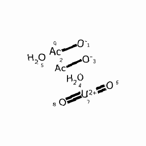 CC(=O)[O-].CC(=O)[O-].O.O.[O]=[U+2]=[O]